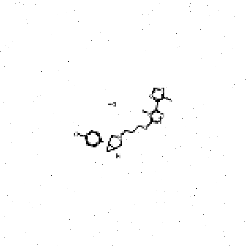 Cc1ncoc1-c1nnc(SCCCN2C[C@H]3C[C@@]3(c3ccc(Cl)cc3)C2)n1C.Cl